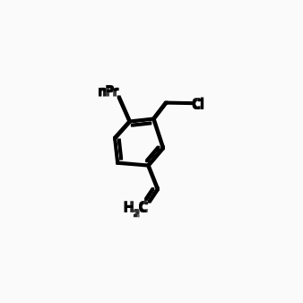 C=Cc1ccc(CCC)c(CCl)c1